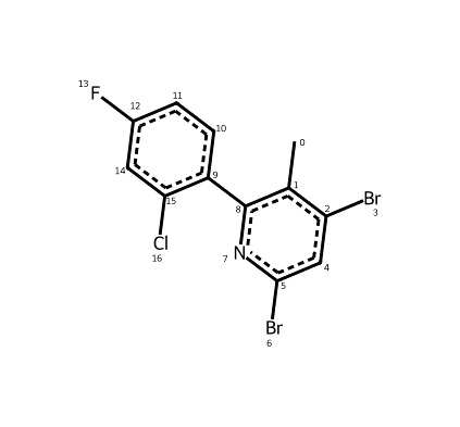 Cc1c(Br)cc(Br)nc1-c1ccc(F)cc1Cl